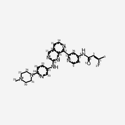 CC(F)=CC(=O)Nc1ccnc(-c2nccc3cnc(Nc4ccc(N5CCN(C)CC5)nc4)nc23)c1